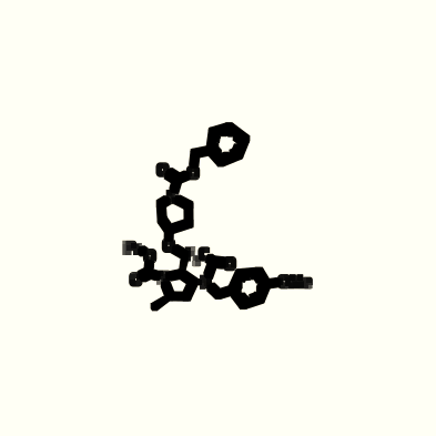 COc1ccc(CN(C(=O)C(F)(F)F)[C@@H]2C[C@@H](C)N(C(=O)OC(C)C)[C@H]2COC2CCN(C(=O)OCc3ccccc3)CC2)cc1